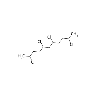 CC(Cl)CCC(Cl)CC(Cl)CCC(C)Cl